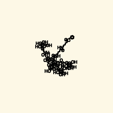 O=C(CCCCCNC(=O)CN(CC(=O)N[C@@H](CCC(=O)NCCO[C@H]1O[C@H](CO)[C@@H](O)[C@H](O)[C@@H]1O)C(=O)NCCO[C@H]1O[C@H](CO)[C@@H](O)[C@H](O)[C@@H]1O)CC(=O)N[C@@H](CCC(=O)NCCO[C@H]1O[C@H](CO)[C@@H](O)[C@H](O)[C@@H]1O)C(=O)NCCO[C@H]1O[C@H](CO)[C@@H](O)[C@H](O)[C@@H]1O)NCCCCCC(=O)OCc1ccccc1